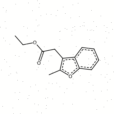 CCOC(=O)Cc1c(C)oc2ccccc12